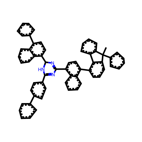 CC1(c2ccccc2)c2ccccc2-c2c(-c3ccc(C4=NC(c5ccc(-c6ccccc6)c6ccccc56)NC(c5ccc(-c6ccccc6)cc5)=N4)c4ccccc34)cccc21